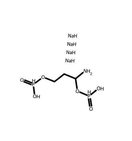 NC(CCO[PH](=O)O)O[PH](=O)O.[NaH].[NaH].[NaH].[NaH]